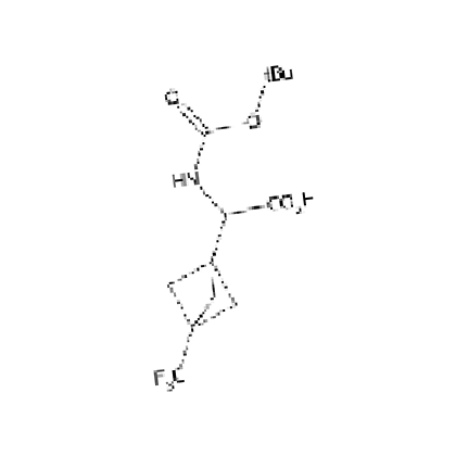 CC(C)(C)OC(=O)NC(C(=O)O)C12CC(C(F)(F)F)(C1)C2